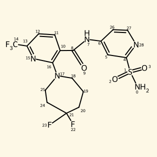 NS(=O)(=O)c1cc(NC(=O)c2ccc(C(F)(F)F)nc2N2CCCC(F)(F)CC2)ccn1